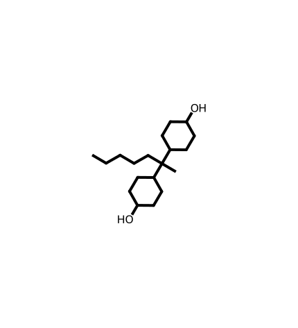 CCCCCC(C)(C1CCC(O)CC1)C1CCC(O)CC1